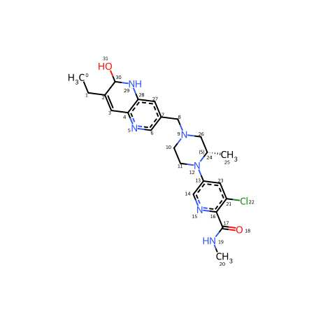 CCC1=Cc2ncc(CN3CCN(c4cnc(C(=O)NC)c(Cl)c4)[C@@H](C)C3)cc2NC1O